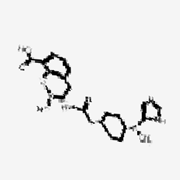 CN(c1cnc[nH]1)[C@H]1CC[C@H](CC(=O)N[C@H]2Cc3cccc(C(=O)O)c3OB2O)CC1